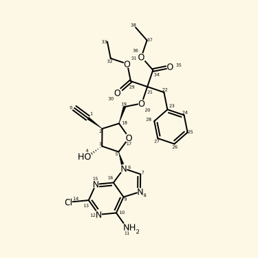 C#C[C@@H]1[C@@H](O)[C@H](n2cnc3c(N)nc(Cl)nc32)O[C@@H]1COC(Cc1ccccc1)(C(=O)OCC)C(=O)OCC